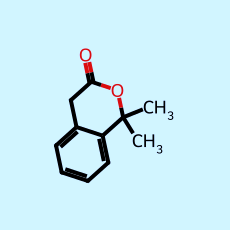 CC1(C)OC(=O)Cc2ccccc21